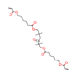 C=CC(=O)OCCCCCC(=O)OCC(C)(C)[CH2][Co](=[O])[C](C)(C)COC(=O)CCCCCOC(=O)C=C